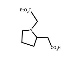 CCOC(=O)CN1CCCC1CC(=O)O